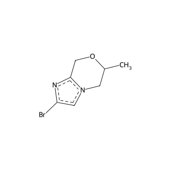 CC1Cn2cc(Br)nc2CO1